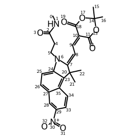 CNC(=O)CCN1/C(=C\C=C2C(=O)OC(C)(C)OC2=O)C(C)(C)c2c1ccc1cc([N+](=O)[O-])ccc21